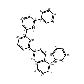 c1ccc(-c2cncc(-c3cccc(-c4cc5c6c(cccc6c4)-c4ccccc4-5)c3)n2)cc1